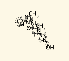 Cc1nc(NC(=O)c2ccc(N3CCN(CCO)CC3)nc2C)nc(-c2ccccn2)n1